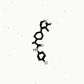 Cc1c(C2CCC(C(C)C(=O)Nc3ccc(Cl)cc3)CC2)ccnc1F